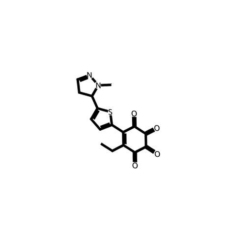 CCc1c(-c2ccc(C3CC=NN3C)s2)c(=O)c(=O)c(=O)c1=O